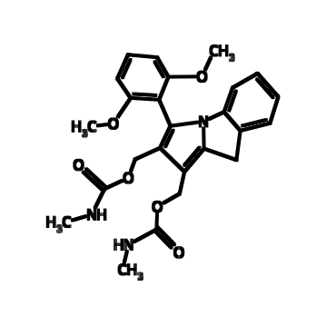 CNC(=O)OCc1c(COC(=O)NC)c(-c2c(OC)cccc2OC)n2c1Cc1ccccc1-2